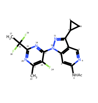 CC(=O)Nc1cc2c(cn1)c(C1CC1)nn2-c1nc(C(C)(F)F)nc(C)c1F